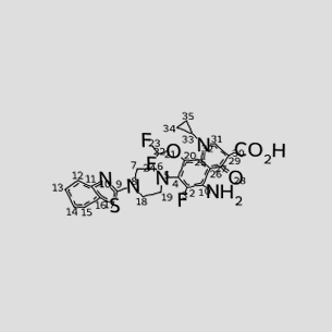 Nc1c(F)c(N2CCN(c3nc4ccccc4s3)CC2)c(OC(F)F)c2c1c(=O)c(C(=O)O)cn2C1CC1